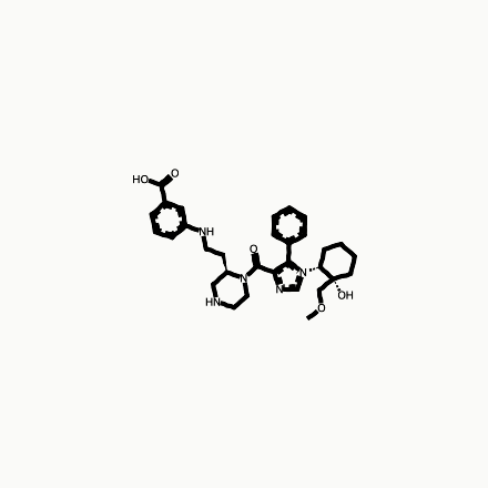 COC[C@]1(O)CCCC[C@H]1n1cnc(C(=O)N2CCNC[C@H]2CCNc2cccc(C(=O)O)c2)c1-c1ccccc1